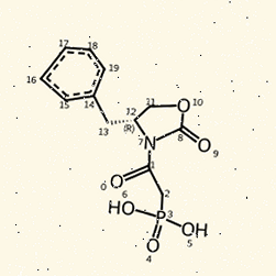 O=C(CP(=O)(O)O)N1C(=O)OC[C@H]1Cc1ccccc1